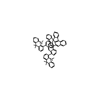 CN1c2ccccc2C(C)(C)c2cccc(-c3cccc4c(-c5cc6ccccc6c6c5C5(c7ccccc7-c7ccccc75)c5ccccc5-6)c5cccc(-c6cccc7c6N(C)c6ccccc6C7(C)C)c5cc34)c21